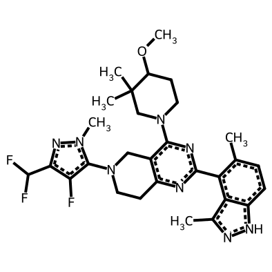 COC1CCN(c2nc(-c3c(C)ccc4[nH]nc(C)c34)nc3c2CN(c2c(F)c(C(F)F)nn2C)CC3)CC1(C)C